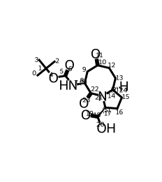 CC(C)(C)OC(=O)N[C@H]1CC(=O)CC[C@H]2CC[C@@H](C(=O)O)N2C1=O